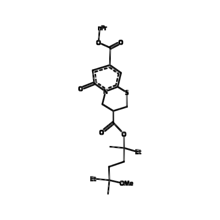 CCCOC(=O)c1cc2n(c(=O)c1)CC(C(=O)OC(C)(CC)CCC(C)(CC)OC)CS2